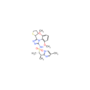 COc1cccc(OC)c1-n1c(NS(=O)(=O)[C@@H](C)[C@H](C)c2ncc(C)cn2)nnc1C1CCCS1